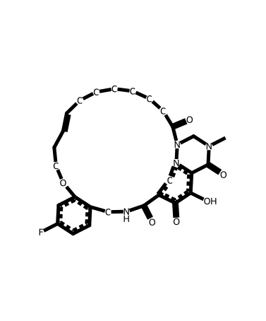 CN1CN2C(=O)CCCCCC/C=C/CCOc3cc(F)ccc3CNC(=O)c3cn2c(c(O)c3=O)C1=O